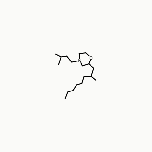 CCCCCCC(C)CC1CN(CCC(C)C)CCO1